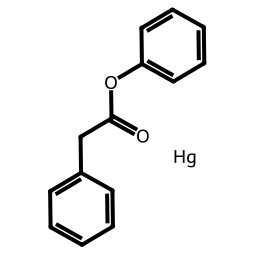 O=C(Cc1ccccc1)Oc1ccccc1.[Hg]